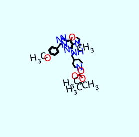 COc1ccc(-c2nnc3c4c(c(NCC5CCN(OC(=O)OC(C)(C)C)CC5)nn23)N(C)CCO4)cc1